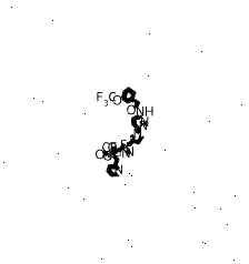 O=C(Cc1cccc(OC(F)(F)F)c1)Nc1ccc(N2CCC(c3nnc(C(=O)N(Cc4ccccn4)OC(=O)C(F)(F)F)s3)C2)nn1